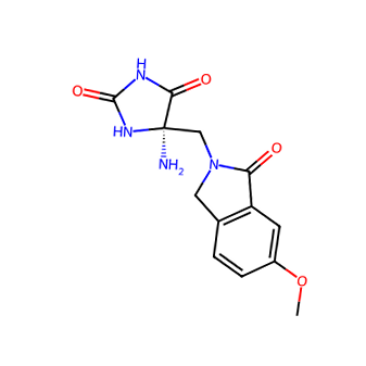 COc1ccc2c(c1)C(=O)N(C[C@@]1(N)NC(=O)NC1=O)C2